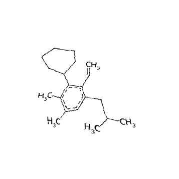 C=Cc1c(CC(C)C)cc(C)c(C)c1C1CCCCC1